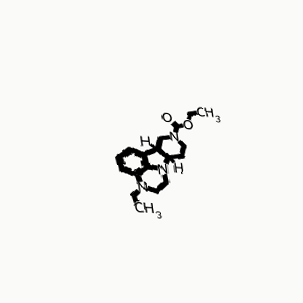 CCOC(=O)N1CC[C@H]2[C@@H](C1)c1cccc3c1N2CCN3CC